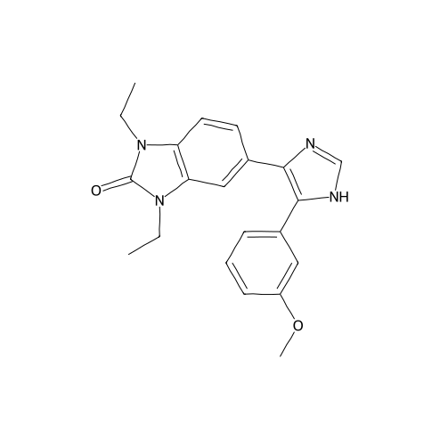 CCn1c(=O)n(CC)c2cc(-c3nc[nH]c3-c3cccc(OC)c3)ccc21